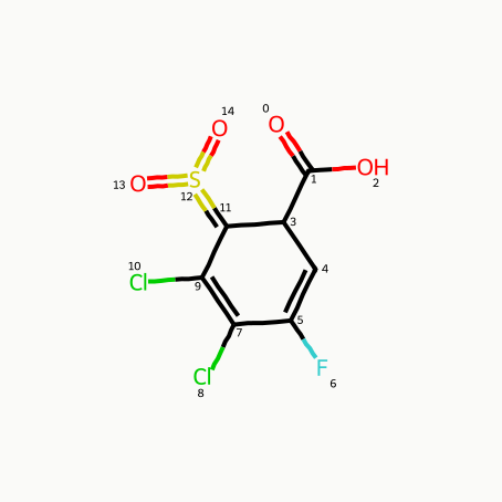 O=C(O)C1C=C(F)C(Cl)=C(Cl)C1=S(=O)=O